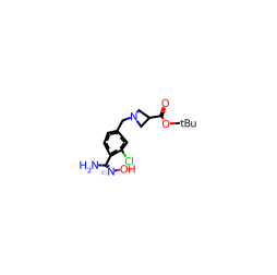 CC(C)(C)OC(=O)C1CN(Cc2ccc(/C(N)=N\O)c(Cl)c2)C1